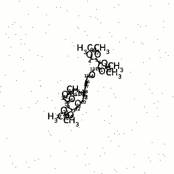 CC1(C)OC[C@H]([C@H]2OC(C)(C)O[C@@H]2COCC#CC#CCOC[C@H]2OC(C)(C)O[C@@H]2[C@H]2COC(C)(C)O2)O1